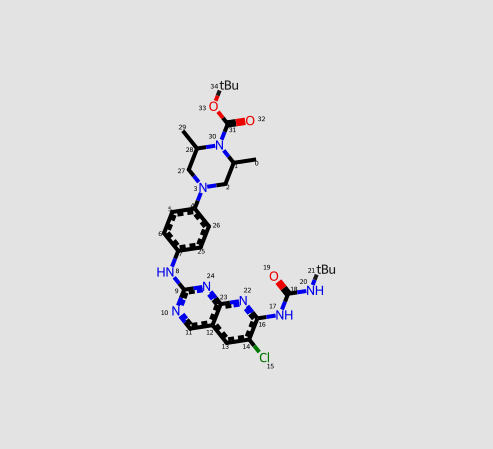 CC1CN(c2ccc(Nc3ncc4cc(Cl)c(NC(=O)NC(C)(C)C)nc4n3)cc2)CC(C)N1C(=O)OC(C)(C)C